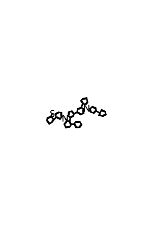 c1ccc(-c2ccc(-n3c4ccccc4c4cc(-c5ccc6c(c5)c5c(-c7ccccc7)cccc5n6-c5ccc6sc7ccccc7c6c5)ccc43)cc2)cc1